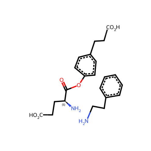 NCCc1ccccc1.N[C@@H](CCC(=O)O)C(=O)Oc1ccc(CCC(=O)O)cc1